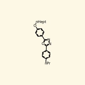 CCCCCCCOc1ccc(-c2nnc(-c3ccc(CCC)cc3)o2)cc1